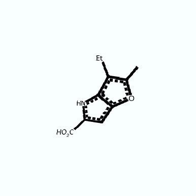 CCc1c(C)oc2cc(C(=O)O)[nH]c12